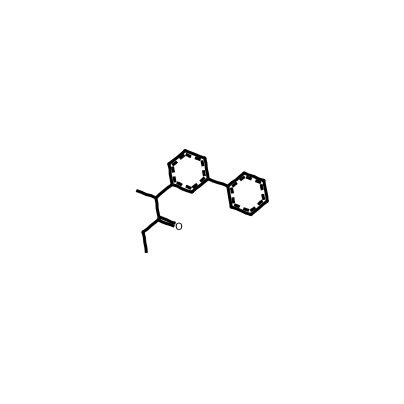 CCC(=O)C(C)c1cccc(-c2ccccc2)c1